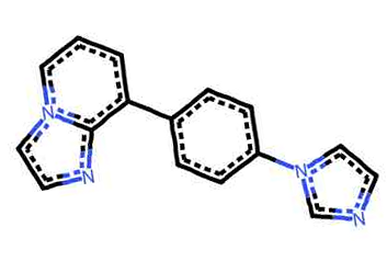 c1cc(-c2ccc(-n3ccnc3)cc2)c2nccn2c1